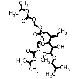 C/C=C(\CP(=O)(OCOC(=O)OC(C)C)OCOC(=O)OC(C)C)C(O)C(O)C(OC)OCC(C)C